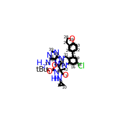 CC(C)(C)OC(=O)N[C@]1(C(=O)NC2CC2)CCN(c2cc(Cl)cc(-c3ccc4c(c3)CCO4)c2Cn2cnc3c(N)ncnc32)C1